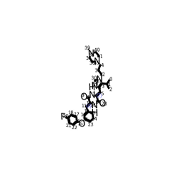 CC(C)c1c(/C=c2\[nH]c(=O)/c(=C/C3=CC(Oc4ccc(F)cc4)=CCC3)[nH]c2=O)ncn1CCCN1CCN(C)CC1